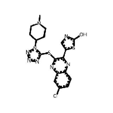 CN1CCC(n2nnnc2Sc2nc3cc(Cl)ccc3nc2-c2cnc(O)s2)CC1